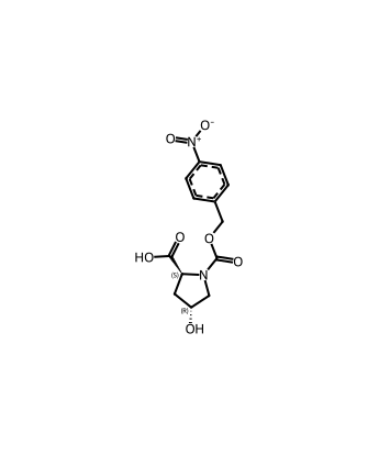 O=C(O)[C@@H]1C[C@@H](O)CN1C(=O)OCc1ccc([N+](=O)[O-])cc1